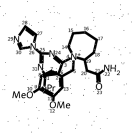 CCCc1cc([N+]2(Cc3ccc(OC)c(OC)c3)CCCCCC2CC(N)=O)nc(-n2ccnc2)n1